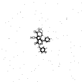 CN1CCn2c(c(O)c3c(=O)n(Cc4ccc(F)cc4)nc(-c4cncnc4)c32)C1=O